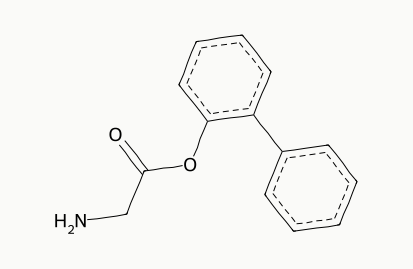 NCC(=O)Oc1ccccc1-c1ccccc1